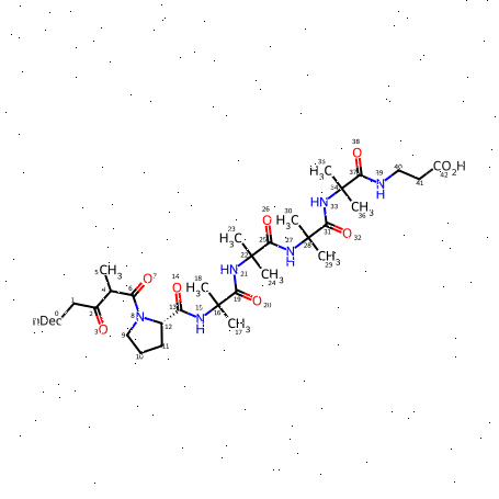 CCCCCCCCCCCC(=O)C(C)C(=O)N1CCC[C@H]1C(=O)NC(C)(C)C(=O)NC(C)(C)C(=O)NC(C)(C)C(=O)NC(C)(C)C(=O)NCCC(=O)O